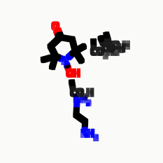 CC(=O)O.CC(=O)O.CC(=O)O.CC(=O)O.CC1(C)CC(=O)CC(C)(C)N1O.NCCN